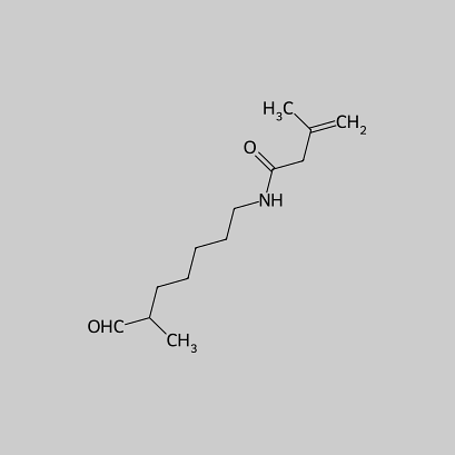 C=C(C)CC(=O)NCCCCCC(C)C=O